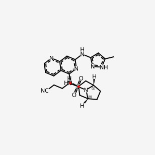 Cc1cc(Nc2cc3ncccc3c(N[C@@H]3C[C@H]4CC[C@@H](C3)N4S(=O)(=O)NCCC#N)n2)n[nH]1